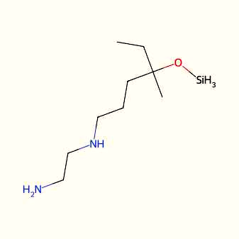 CCC(C)(CCCNCCN)O[SiH3]